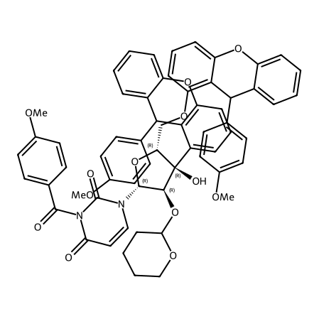 COc1ccc(C(=O)n2c(=O)ccn([C@@H]3O[C@H](COc4cccc5c4C(c4ccc(OC)cc4)c4ccccc4O5)[C@](O)(c4cccc5c4C(c4ccc(OC)cc4)c4ccccc4O5)[C@H]3OC3CCCCO3)c2=O)cc1